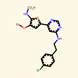 CCOc1cc(-c2cc(NCCc3ccc(Br)cc3)ncn2)sc1NC(=O)O